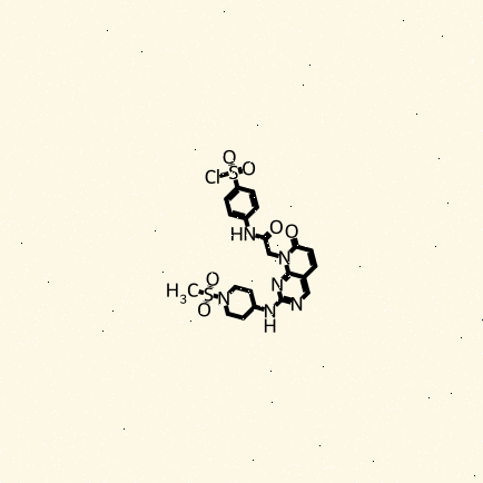 CS(=O)(=O)N1CCC(Nc2ncc3ccc(=O)n(CC(=O)Nc4ccc(S(=O)(=O)Cl)cc4)c3n2)CC1